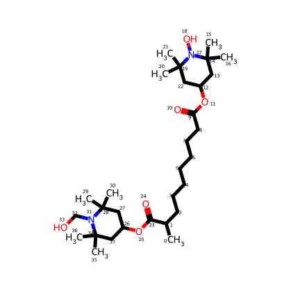 CC(CCCCCCCC(=O)OC1CC(C)(C)N(O)C(C)(C)C1)C(=O)OC1CC(C)(C)N(CO)C(C)(C)C1